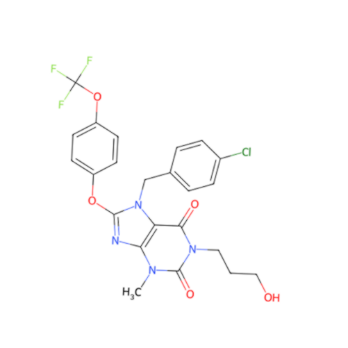 Cn1c(=O)n(CCCO)c(=O)c2c1nc(Oc1ccc(OC(F)(F)F)cc1)n2Cc1ccc(Cl)cc1